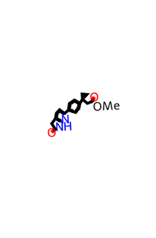 COC(=O)CC1(c2ccc(-c3ccc4c(n3)NC(=O)C4)cc2)CC1